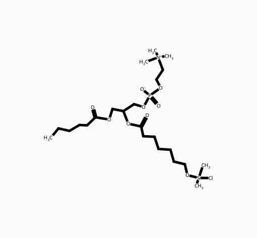 CCCCCC(=O)OCC(COP(=O)([O-])OCC[N+](C)(C)C)OC(=O)CCCCCCO[Si](C)(C)Cl